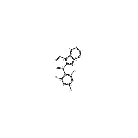 C=Cc1c(C(=C)c2c(C)cc(F)cc2C)sc2ccccc12